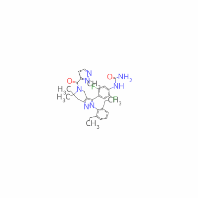 CCc1cccc(CC)c1-n1nc2c(c1-c1cc(F)c(NC(N)=O)cc1F)CN(C(=O)c1ccnn1C)C(C)(C)C2